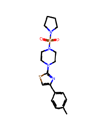 Cc1ccc(-c2csc(N3CCN(S(=O)(=O)N4CCCC4)CC3)n2)cc1